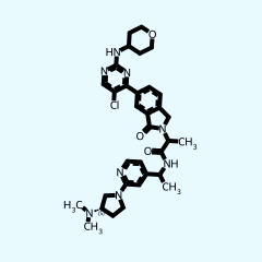 CC(NC(=O)C(C)N1Cc2ccc(-c3nc(NC4CCOCC4)ncc3Cl)cc2C1=O)c1ccnc(N2CC[C@H](N(C)C)C2)c1